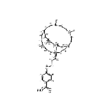 CN1CCN(C)CCN2CCN(C)CCN(C)CCN(CC1)CCN(C)CCN(CCCOc1ccc(C(=O)O)cc1)CC2